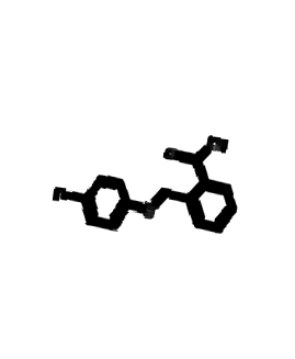 N#CC(=O)c1ccccc1COc1ccc(F)cc1